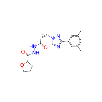 Cc1cc(C)cc(-c2ncn(/C=C\C(=O)NNC(=O)C3CCCO3)n2)c1